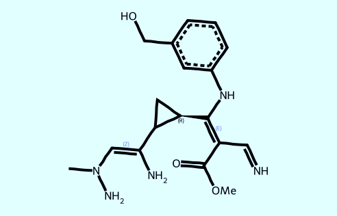 COC(=O)/C(C=N)=C(/Nc1cccc(CO)c1)[C@@H]1CC1/C(N)=C/N(C)N